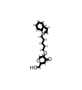 O=c1cc(CO)occ1OCCCCCn1ccc2ccccc21